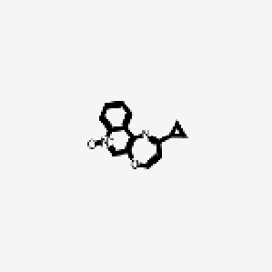 [O-][n+]1cc2c(c3ccccc31)N=C(C1CC1)C=CO2